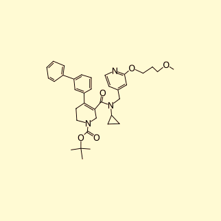 COCCCOc1cc(CN(C(=O)C2=C(c3cccc(-c4ccccc4)c3)CCN(C(=O)OC(C)(C)C)C2)C2CC2)ccn1